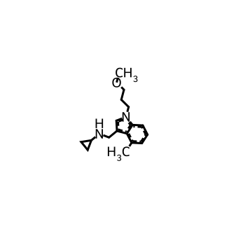 COCCCn1cc(CNC2CC2)c2c(C)cccc21